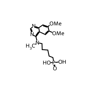 COc1cc2ncnc(N(C)CCCCCP(=O)(O)O)c2cc1OC